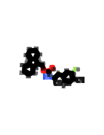 CCOC(=O)C(Cc1ccc(C#N)c(F)c1)NC(=O)OCC1c2ccccc2-c2ccccc21